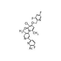 CC(=O)c1nc(-c2cc(-n3c(C)cc(OCc4ncc(F)cc4F)c(Cl)c3=O)c(C)cn2)ccc1F